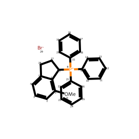 COc1cccc2c1C([P+](c1ccccc1)(c1ccccc1)c1ccccc1)CC2.[Br-]